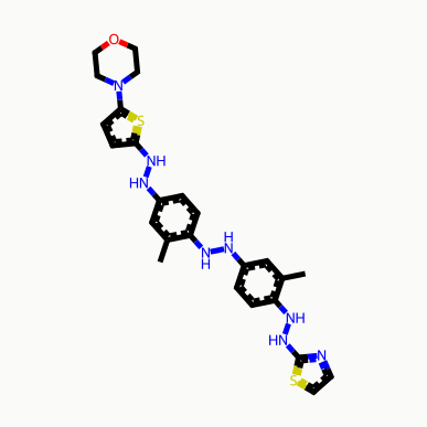 Cc1cc(NNc2ccc(N3CCOCC3)s2)ccc1NNc1ccc(NNc2nccs2)c(C)c1